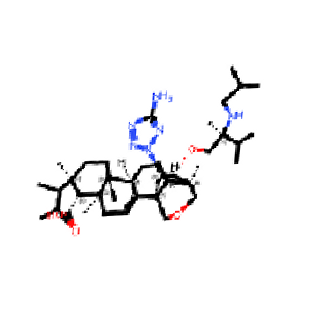 CC(C)CN[C@](C)(CO[C@H]1[C@H](n2nnc(N)n2)C[C@@]23COC[C@@]1(C)[C@@H]2CC[C@H]1C3=CC[C@@]2(C)[C@H](C(=O)O)[C@@](C)(C(C)C(C)C)CC[C@]12C)C(C)C